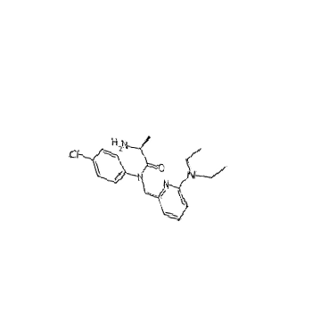 CCN(CC)c1cccc(CN(C(=O)[C@H](C)N)c2ccc(Cl)cc2)n1